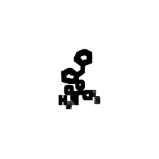 NC(=O)C(Oc1ccccc1Cc1ccccc1)C(F)(F)F